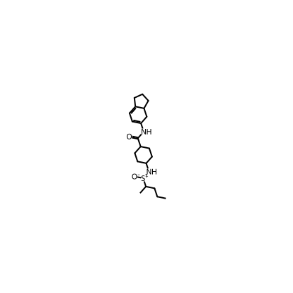 CCCC(C)[S+]([O-])NC1CCC(C(=O)NC2=CC=C3CCCC3C2)CC1